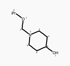 CC(C)OCN1CCC(O)CC1